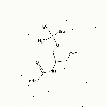 CCCCCCC(=O)NC(CC=O)CO[Si](C)(C)C(C)(C)C